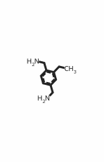 CCc1cc(CN)ccc1CN